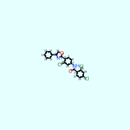 O=C(Nc1ccc(-c2nc(-c3ccccc3)co2)c(Cl)c1)c1ccc(Cl)cc1Cl